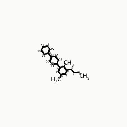 CCCCc1cc(C)cc(-c2ccc(-c3ccccc3)cn2)c1C